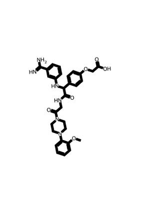 COc1ccccc1N1CCN(C(=O)CNC(=O)C(Nc2cccc(C(=N)N)c2)c2ccc(OCC(=O)O)cc2)CC1